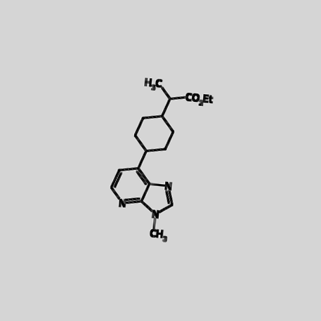 CCOC(=O)C(C)C1CCC(c2ccnc3c2ncn3C)CC1